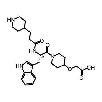 O=C(O)COC1CCN(C(=O)[C@H](Cc2c[nH]c3ccccc23)NC(=O)CCC2CCNCC2)CC1